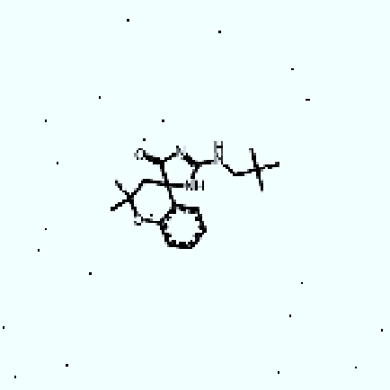 CC(C)(C)CNC1=NC(=O)C2(CC(C)(C)Oc3ccccc32)N1